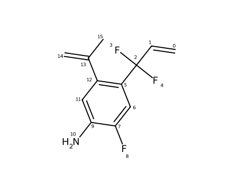 C=CC(F)(F)c1cc(F)c(N)cc1C(=C)C